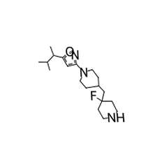 CC(C)C(C)c1cc(N2CCC(CC3(F)CCNCC3)CC2)no1